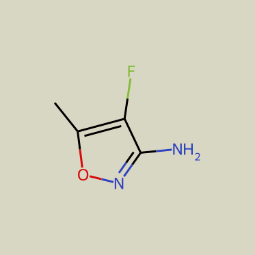 Cc1onc(N)c1F